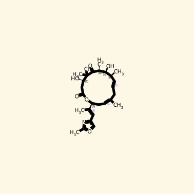 C/C1=C/C[C@@H](/C(C)=C/c2coc(C)n2)OC(=O)C[C@H](O)C(C)(C)C(=O)[C@H](C)[C@@H](O)[C@@H](C)/C=C/C1